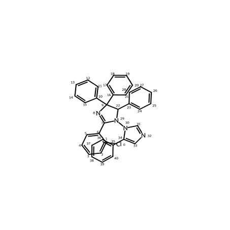 Clc1ccccc1C1=NC(c2ccccc2)(c2ccccc2)C(c2ccccc2)N1n1cncc1-c1ccccc1